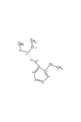 COc1ccccc1SC[C@H](CO)OC